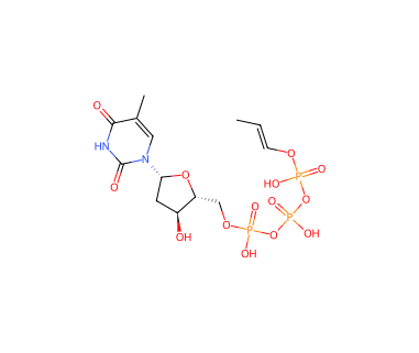 CC=COP(=O)(O)OP(=O)(O)OP(=O)(O)OC[C@H]1O[C@@H](n2cc(C)c(=O)[nH]c2=O)C[C@@H]1O